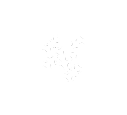 c1cc(-c2ccc3ccccc3c2)cc(-c2c3ccc(N4c5ccccc5Sc5ccccc54)cc3c(-c3ccc4ccccc4c3)c3ccc(N4c5ccccc5Sc5ccccc54)cc23)c1